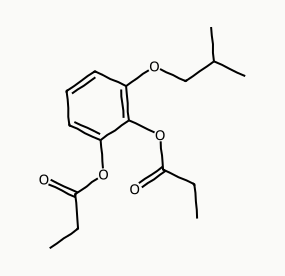 CCC(=O)Oc1cccc(OCC(C)C)c1OC(=O)CC